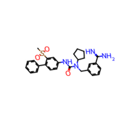 CS(=O)(=O)c1cc(NC(=O)N(Cc2cccc(C(=N)N)c2)C2CCCC2)ccc1-c1ccccc1